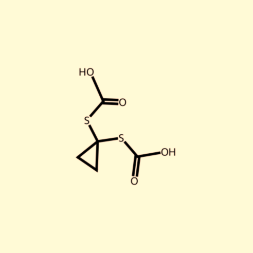 O=C(O)SC1(SC(=O)O)CC1